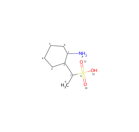 CC(C1CCCCC1N)S(=O)(=O)O